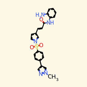 Cn1cc(-c2ccc(S(=O)(=O)n3ccc(C=CC(=O)Nc4ccccc4N)c3)cc2)cn1